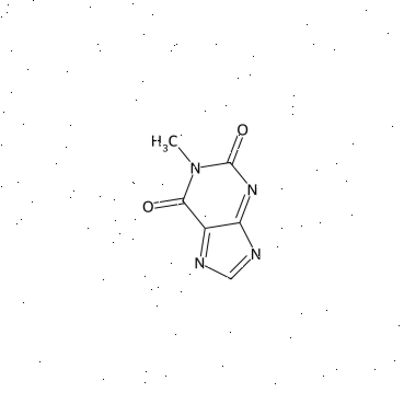 CN1C(=O)N=C2N=CN=C2C1=O